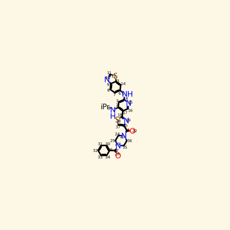 CC(C)Nc1cc(Nc2ccc3ncsc3c2)ncc1-c1nc(C(=O)N2CCN(C(=O)c3ccccc3)CC2)cs1